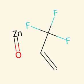 [CH]=CC(F)(F)F.[O]=[Zn]